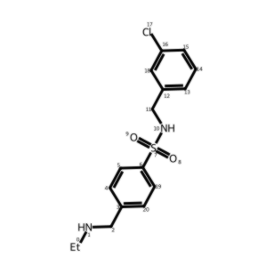 CCNCc1ccc(S(=O)(=O)NCc2cccc(Cl)c2)cc1